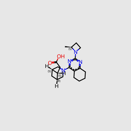 C[C@H]1CCN1c1nc2c(c(N3C[C@H]4C[C@@H](C3)[C@H]4CC(=O)O)n1)CCCC2